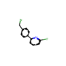 Clc1cccc(-c2ccc(CBr)cc2)n1